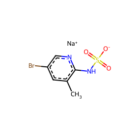 Cc1cc(Br)cnc1NS(=O)(=O)[O-].[Na+]